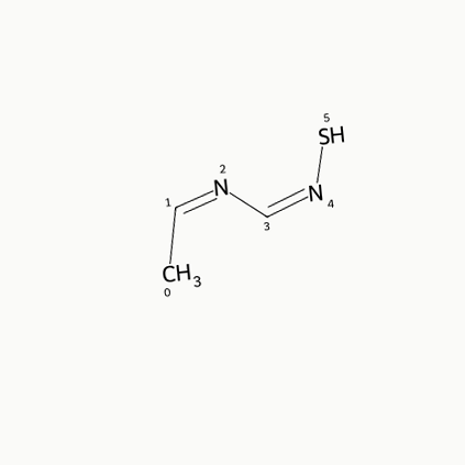 C/C=N\C=N/S